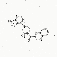 O=C(c1cnc2ccccc2n1)N1CCN(c2ncnc3[nH]ccc23)CC12CC2